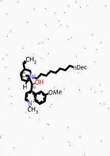 C=CC1C[N+]2(CCCCCCCCCCCCCCCCCC)CCC1C[C@H]2[C@@H](O)c1cc[n+](C)c2ccc(OC)cc12